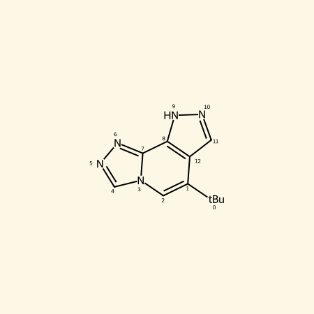 CC(C)(C)c1cn2cnnc2c2[nH]ncc12